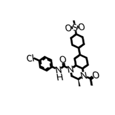 CC(=O)N1C2CCC(C3CCC(S(C)(=O)=O)CC3)CC2N(C(=O)Nc2ccc(Cl)cc2)C[C@@H]1C